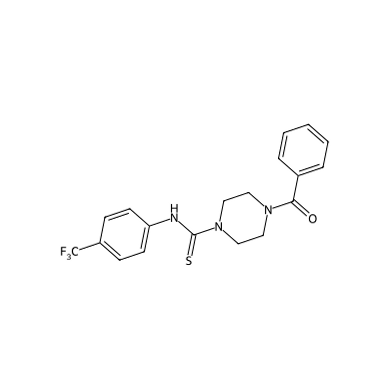 O=C(c1ccccc1)N1CCN(C(=S)Nc2ccc(C(F)(F)F)cc2)CC1